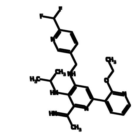 CCOc1ncccc1-c1cc(NCc2ccc(C(F)F)nc2)c(NC(C)C)c(C(C)=N)n1